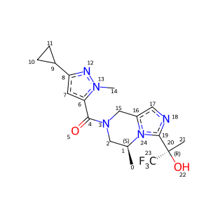 C[C@H]1CN(C(=O)c2cc(C3CC3)nn2C)Cc2cnc([C@@](C)(O)C(F)(F)F)n21